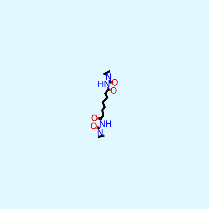 O=C(CCCCCCC(=O)NC(=O)N1CC1)NC(=O)N1CC1